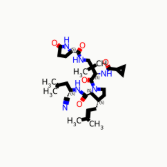 CC(C)=CC[C@H]1CCN(C(=O)[C@@H](NC(=O)C2CC2)C(C)(C)CNC(=O)[C@@H]2CCC(=O)N2)[C@@H]1C(=O)N[C@H](C#N)CC(C)C